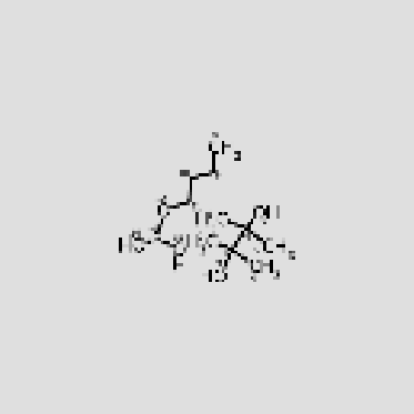 CC(C)(O)C(C)(C)O.CCCCOB(O)O